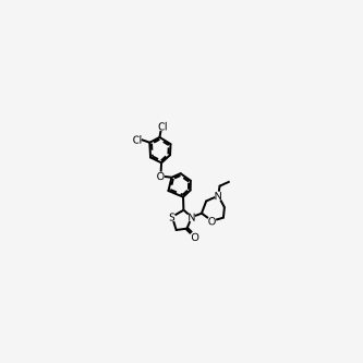 CCN1CCOC(N2C(=O)CSC2c2cccc(Oc3ccc(Cl)c(Cl)c3)c2)C1